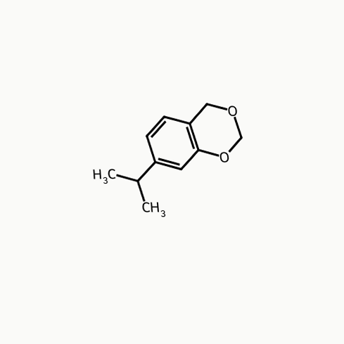 CC(C)c1ccc2c(c1)OCOC2